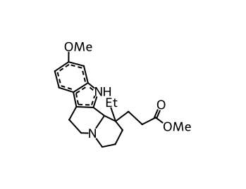 CCC1(CCC(=O)OC)CCCN2CCc3c([nH]c4cc(OC)ccc34)C21